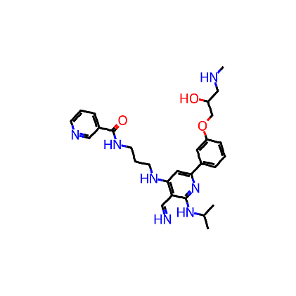 CNCC(O)COc1cccc(-c2cc(NCCCNC(=O)c3cccnc3)c(C=N)c(NC(C)C)n2)c1